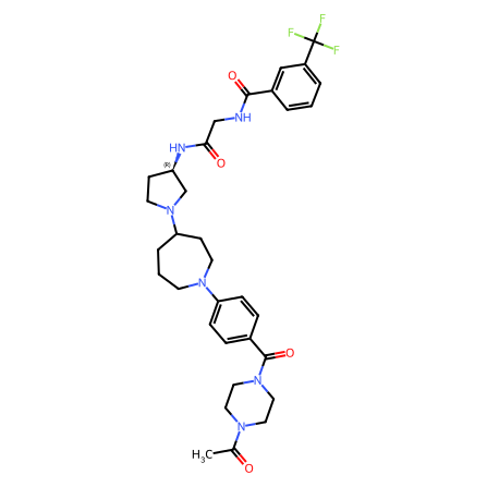 CC(=O)N1CCN(C(=O)c2ccc(N3CCCC(N4CC[C@@H](NC(=O)CNC(=O)c5cccc(C(F)(F)F)c5)C4)CC3)cc2)CC1